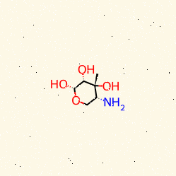 C[C@@]1(O)[C@H](N)CO[C@H](O)[C@@H]1O